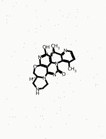 Cc1ccnc(C(C)C)c1-n1c(=O)nc2c3c(nc(O)c(F)c31)OC[C@@H]1CNCCN21